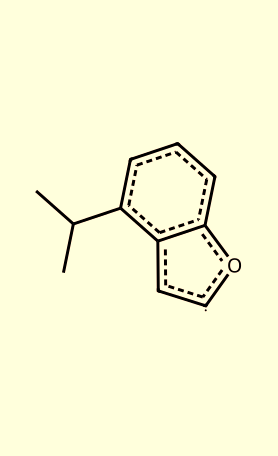 CC(C)c1cccc2o[c]cc12